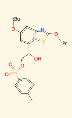 Cc1ccc(S(=O)(=O)OCC(O)c2cc(OC(C)(C)C)cc3nc(OC(C)C)sc23)cc1